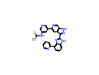 CCC(=O)Nc1cncc(-c2cc3c(-c4nc5c(-c6ccccn6)cccc5[nH]4)n[nH]c3cn2)c1